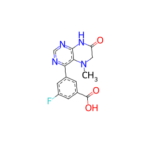 CN1CC(=O)Nc2ncnc(-c3cc(F)cc(C(=O)O)c3)c21